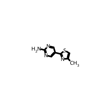 Cc1csc(-c2cnc(N)nc2)n1